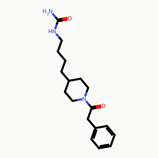 NC(=O)NCCCCC1CCN(C(=O)Cc2ccccc2)CC1